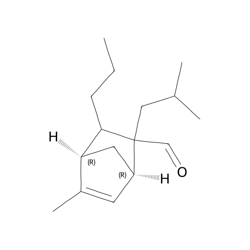 CCCC1[C@H]2C[C@H](C=C2C)C1(C=O)CC(C)C